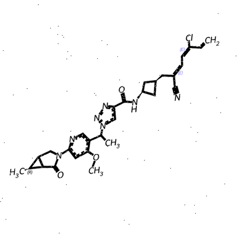 C=C/C(Cl)=C\C=C(\C#N)C[C@H]1C[C@@H](NC(=O)c2cn(C(C)c3cnc(N4CC5C(C4=O)[C@@H]5C)cc3OC)nn2)C1